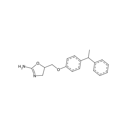 CC(c1ccccc1)c1ccc(OCC2CN=C(N)O2)cc1